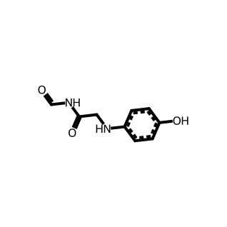 O=CNC(=O)CNc1ccc(O)cc1